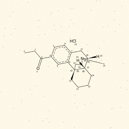 CCC(=O)c1ccc2c(c1)[C@@]13CCCC[C@H]1[C@@H](C2)N(C)CC3.Cl